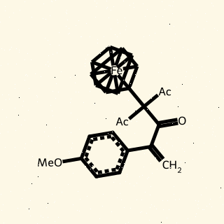 C=C(C(=O)C(C(C)=O)(C(C)=O)[C]12[CH]3[CH]4[CH]5[CH]1[Fe]45321678[CH]2[CH]1[CH]6[CH]7[CH]28)c1ccc(OC)cc1